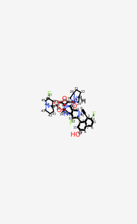 C#Cc1c(F)ccc2cc(O)cc(-c3ncc4c(N5CC6CC[C@@H](C5)N6C(=O)[C@@H]5OC(=O)[C@H]5C(C)C)nc(OC[C@@]56CCCN5C[C@H](F)C6)nc4c3F)c12